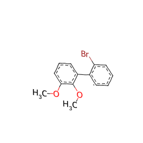 COc1cccc(-c2[c]cccc2Br)c1OC